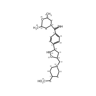 CC1CN(C(=N)c2ccc(C3CC(CN4CCC(CC(=O)O)CC4)ON3)cc2)CC(C)O1